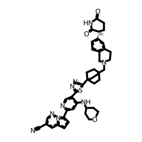 N#Cc1cnn2c(-c3cc(NC4CCOCC4)c(-c4nnc(C56CCC(CN7CCc8cc([C@H]9CCC(=O)NC9=O)ccc8C7)(CC5)CC6)s4)cn3)ccc2c1